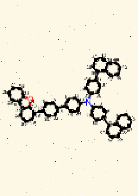 c1ccc2c(-c3ccc(N(c4ccc(-c5ccc(-c6cccc7c6oc6ccccc67)cc5)cc4)c4ccc(-c5cccc6ccccc56)cc4)cc3)cccc2c1